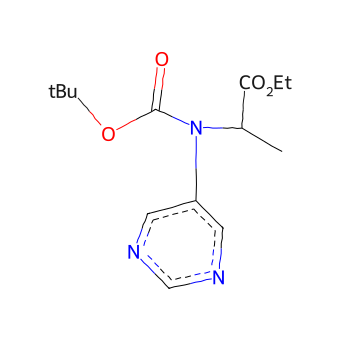 CCOC(=O)C(C)N(C(=O)OC(C)(C)C)c1cncnc1